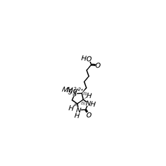 O=C(O)CCCC[C@@H]1SC[C@@H]2NC(=O)N[C@@H]21.[Mg+2].[Mg+2]